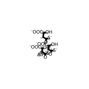 O=C([S-])CC(O)C(=O)[O-].O=C([S-])CC(O)C(=O)[O-].O=C([S-])CC(O)C(=O)[O-].[Au+3].[Au+3]